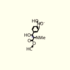 C#COC(=O)/C([NH2+][CH2-])=C(\O)c1ccc([NH+]([O-])O)cc1